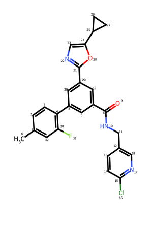 Cc1ccc(-c2cc(C(=O)NCc3ccc(Cl)nc3)cc(-c3ncc(C4CC4)o3)c2)c(F)c1